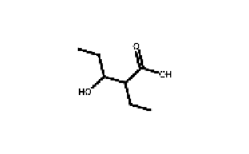 CCC(O)C(CC)C(=O)O